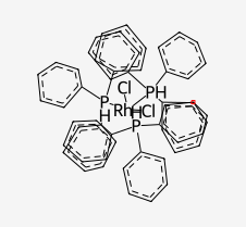 [Cl][Rh]([Cl])([PH](c1ccccc1)(c1ccccc1)c1ccccc1)([PH](c1ccccc1)(c1ccccc1)c1ccccc1)[PH](c1ccccc1)(c1ccccc1)c1ccccc1